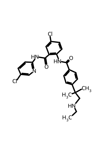 CCNCC(C)(C)c1ccc(C(=O)Nc2ccc(Cl)cc2C(=O)Nc2ccc(Cl)cn2)cc1